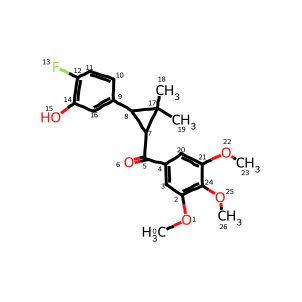 COc1cc(C(=O)C2C(c3ccc(F)c(O)c3)C2(C)C)cc(OC)c1OC